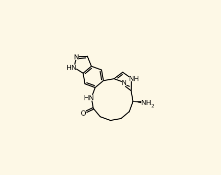 N[C@H]1CCCCC(=O)Nc2cc3[nH]ncc3cc2-c2c[nH]c1n2